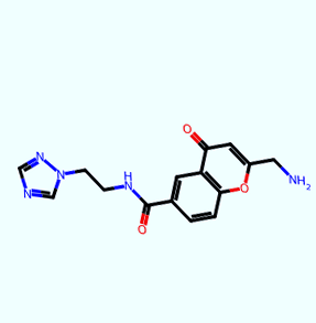 NCc1cc(=O)c2cc(C(=O)NCCn3cncn3)ccc2o1